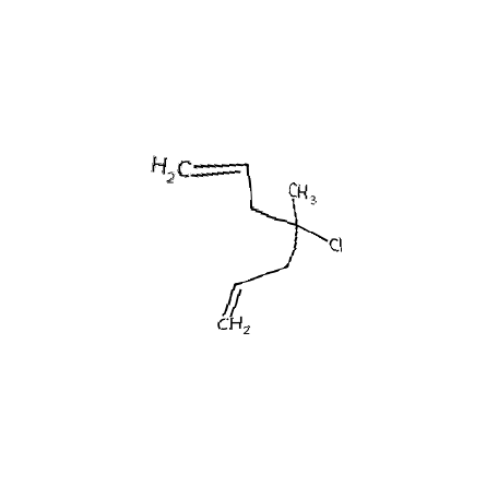 C=CCC(C)(Cl)CC=C